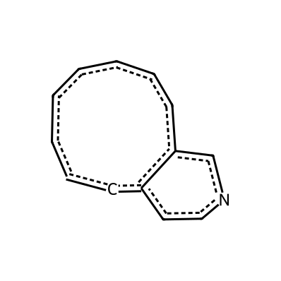 c1ccccc2cnccc2ccc1